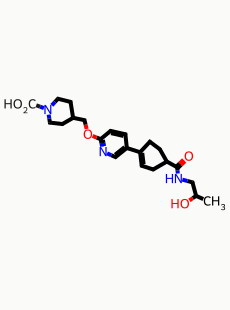 CC(O)CNC(=O)C1CC=C(c2ccc(OCC3CCN(C(=O)O)CC3)nc2)CC1